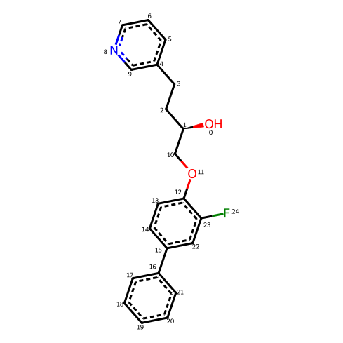 O[C@H](CCc1cccnc1)COc1ccc(-c2ccccc2)cc1F